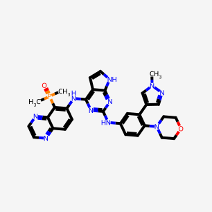 Cn1cc(-c2cc(Nc3nc(Nc4ccc5nccnc5c4P(C)(C)=O)c4cc[nH]c4n3)ccc2N2CCOCC2)cn1